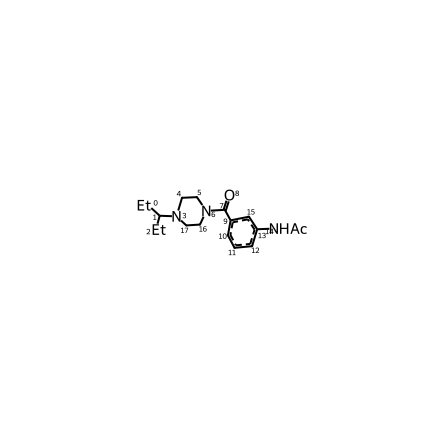 CCC(CC)N1CCN(C(=O)c2cccc(NC(C)=O)c2)CC1